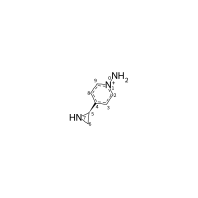 N[n+]1ccc([C@H]2CN2)cc1